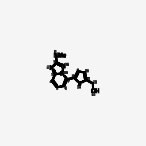 CNc1nc2cccc(-c3ccc(CO)s3)n2n1